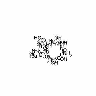 C[C@@H](O)[C@@H]1NC(=O)[C@@H](N)C[C@@H](O)CNC(=O)[C@@H]2[C@@H](O)[C@@H](C)CN2C(=O)[C@H]([C@H](O)CC(=O)NCCN(C)C(=O)OC(C)(C)C)NC(=O)[C@H]([C@H](O)Cc2ccc(O)c(OS(=O)(=O)O)c2)NC(=O)[C@@H]2C[C@@H](O)CN2C1=O